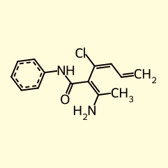 C=C/C=C(Cl)\C(C(=O)Nc1ccccc1)=C(/C)N